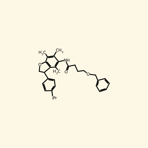 Cc1c(C)c2c(c(C)c1NC(=O)CCCOCc1ccccc1)C(c1ccc(C(C)C)cc1)CO2